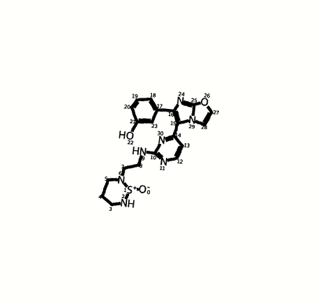 [O-][S+]1NCCCN1CCNc1nccc(-c2c(-c3cccc(O)c3)nc3occn23)n1